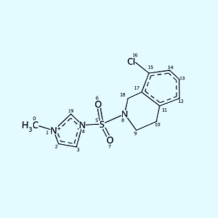 C[n+]1ccn(S(=O)(=O)N2CCc3cccc(Cl)c3C2)c1